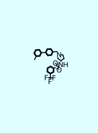 Cc1cccc(-c2ccc(CN3CC[C@@H](NS(=O)(=O)c4cccc(C(F)(F)F)c4)C3)cc2)c1